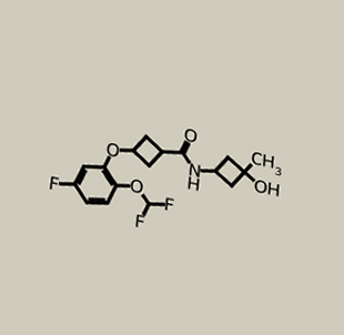 CC1(O)CC(NC(=O)C2CC(Oc3cc(F)ccc3OC(F)F)C2)C1